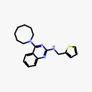 c1csc(CNc2nc(N3CCCCCCC3)c3ccccc3n2)c1